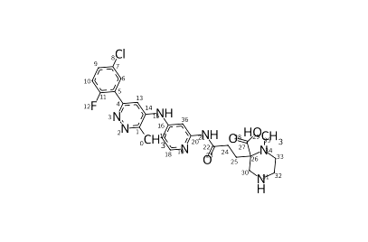 Cc1nnc(-c2cc(Cl)ccc2F)cc1Nc1ccnc(NC(=O)CCC2(C(=O)O)CNCCN2C)c1